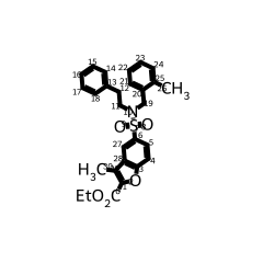 CCOC(=O)c1oc2ccc(S(=O)(=O)N(CCc3ccccc3)Cc3ccccc3C)cc2c1C